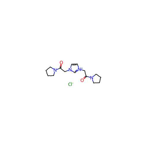 O=C(Cn1cc[n+](CC(=O)N2CCCC2)c1)N1CCCC1.[Cl-]